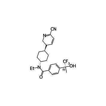 CCN(C(=O)c1ccc([C@](C)(O)C(F)(F)F)cc1)[C@H]1CC[C@H](C2C=CC(C#N)=NC2)CC1